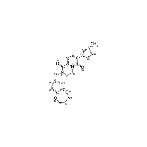 Cc1cn(-c2ccc3n(c2=O)CCN(Cc2ccc4c(c2)OCCCO4)C3=O)cn1